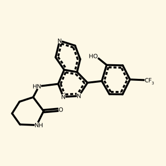 O=C1NCCCC1Nc1nnc(-c2ccc(C(F)(F)F)cc2O)c2ccncc12